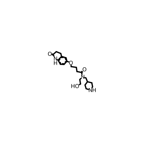 O=C1CCc2cc(OCCCC(=O)N(CCO)CC3CCNCC3)ccc2N1